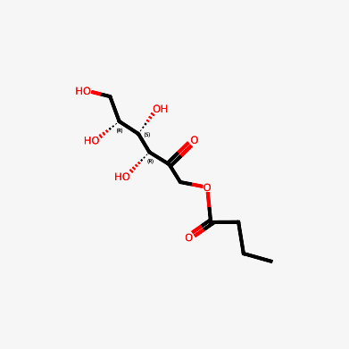 CCCC(=O)OCC(=O)[C@H](O)[C@@H](O)[C@H](O)CO